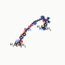 COC(=O)[C@H](CCC(C)(C)C)NC(=O)c1ccc(Oc2cccc(OCC(=O)NCCOCCOCc3cn(CCCCCCn4nccc4C(=O)N[C@H](C(=O)Nc4ccc(-c5c(C)n[nH]c5C)cc4)C(C4CC4)C4CC4)nn3)c2)nc1